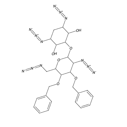 [N-]=[N+]=NCC1OC(OC2C(O)C(N=[N+]=[N-])CC(N=[N+]=[N-])C2O)C(N=[N+]=[N-])C(OCc2ccccc2)C1OCc1ccccc1